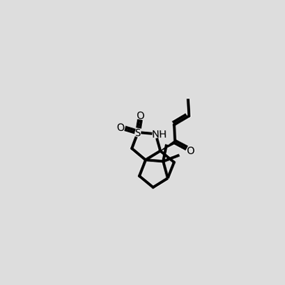 C/C=C/C(=O)[C@@]12CC3CCC1(CS(=O)(=O)N2)C3(C)C